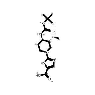 CO[C@@H]1CN(c2ncc(C(=O)O)s2)CC[C@H]1NC(=O)OC(C)(C)C